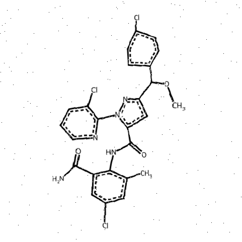 COC(c1ccc(Cl)cc1)c1cc(C(=O)Nc2c(C)cc(Cl)cc2C(N)=O)n(-c2ncccc2Cl)n1